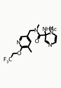 CC(=O)NC1(C(=O)N(C)Cc2cnc(OCC(F)(F)F)c(C)c2)C=NC=CN1